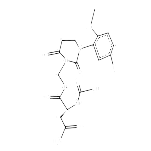 COc1ccc(I)cc1N1CCC(=O)N(CNC(=O)[C@H](CC(N)=O)NC(=O)O)C1=O